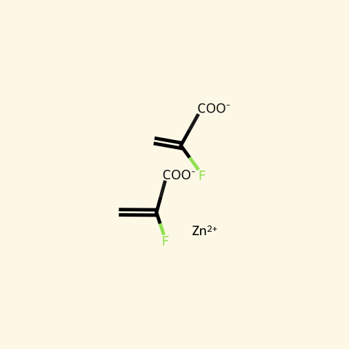 C=C(F)C(=O)[O-].C=C(F)C(=O)[O-].[Zn+2]